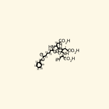 CC(C)CC(NC(=O)C(CCC(=O)O)NC(=O)C(CCC(=O)O)NC(=O)CCCCC(=O)OCc1ccccc1)C(=O)O